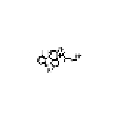 C=N/C=C\C=C(/C)c1nnc2n1-c1ccc(Br)c(Br)c1C(c1c(F)cccc1F)=NC2